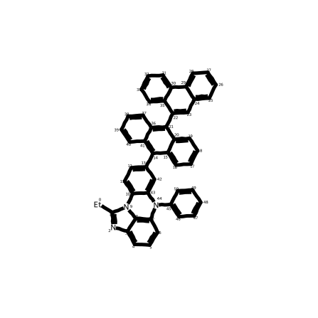 CCc1nc2cccc3c2n1-c1ccc(-c2c4ccccc4c(-c4cc5ccccc5c5ccccc45)c4ccccc24)cc1N3c1ccccc1